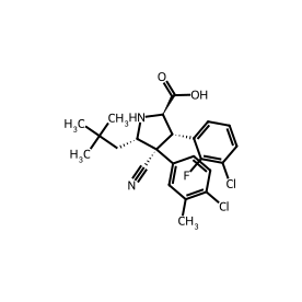 Cc1cc([C@@]2(C#N)[C@H](CC(C)(C)C)N[C@@H](C(=O)O)[C@@H]2c2cccc(Cl)c2F)ccc1Cl